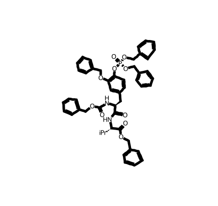 CC(C)[C@H](NC(=O)[C@H](Cc1ccc(OP(=O)(OCc2ccccc2)OCc2ccccc2)c(OCc2ccccc2)c1)NC(=O)OCc1ccccc1)C(=O)OCc1ccccc1